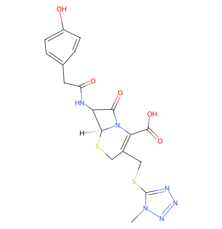 Cn1nnnc1SCC1=C(C(=O)O)N2C(=O)C(NC(=O)Cc3ccc(O)cc3)[C@@H]2SC1